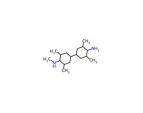 CNC1C(C)CC(C2CC(C)C(N)C(C)C2)CC1C